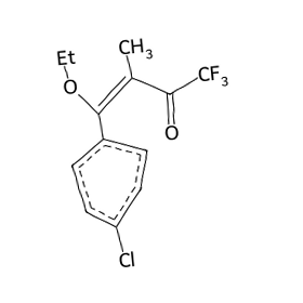 CCOC(=C(C)C(=O)C(F)(F)F)c1ccc(Cl)cc1